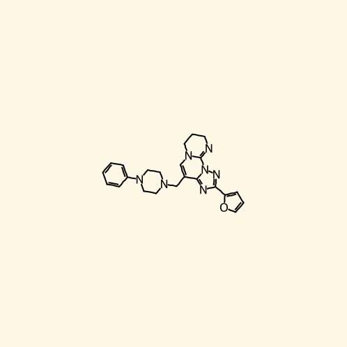 C1=C(CN2CCN(c3ccccc3)CC2)c2nc(-c3ccco3)nn2C2=NCCCN12